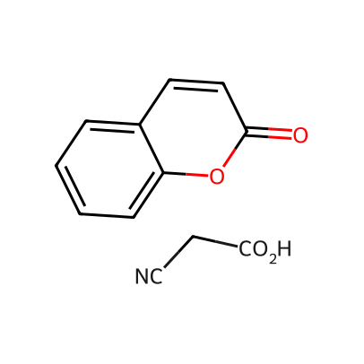 N#CCC(=O)O.O=c1ccc2ccccc2o1